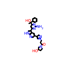 CC(O)(c1ccccc1)c1cc(-c2c[nH]c3ncc(-c4cnn(CCC(=O)N5CCC(O)C5)c4)cc23)nc(N)n1